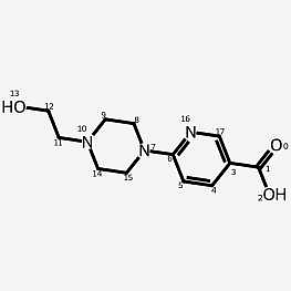 O=C(O)c1ccc(N2CCN(CCO)CC2)nc1